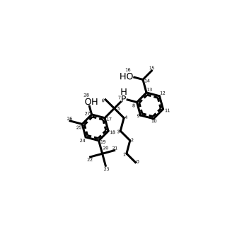 CCCCCC(C)(Pc1ccccc1C(C)O)c1cc(C(C)(C)C)cc(C)c1O